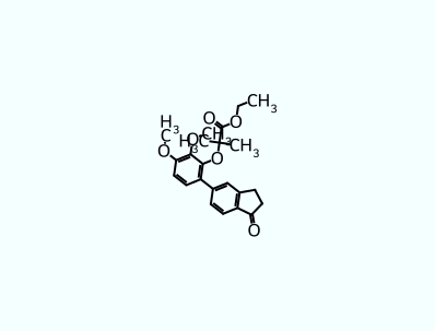 CCOC(=O)C(C)(C)Oc1c(-c2ccc3c(c2)CCC3=O)ccc(OC)c1OC